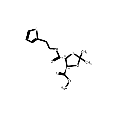 COC(=O)[C@@H]1OC(C)(C)O[C@H]1C(=O)NCCc1cccs1